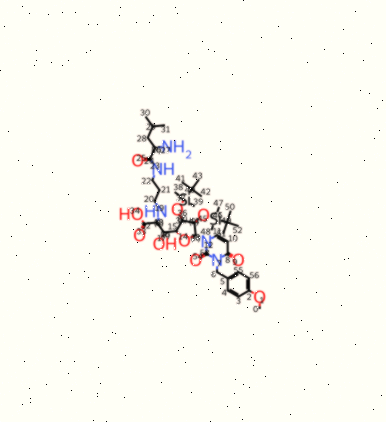 COc1ccc(Cn2c(=O)ccn([C@@H]3OC([C@H](O)[C@H](NCCCNC(=O)[C@H](N)CC(C)C)C(=O)O)[C@@H](O[Si](C)(C)C(C)(C)C)[C@H]3O[Si](C)(C)C(C)(C)C)c2=O)cc1